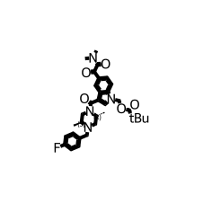 C[C@@H]1CN(Cc2ccc(F)cc2)[C@@H](C)CN1C(=O)c1cn(COC(=O)C(C)(C)C)c2ccc(C(=O)C(=O)N(C)C)cc12